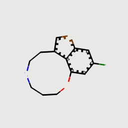 Fc1cc2c3c(csc3c1)CCNCCCO2